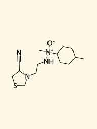 CC1CCC([N+](C)([O-])NCCN2CSCC2C#N)CC1